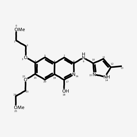 COCCOc1cc2cc(Nc3cc(C)[nH]n3)nc(O)c2cc1OCCOC